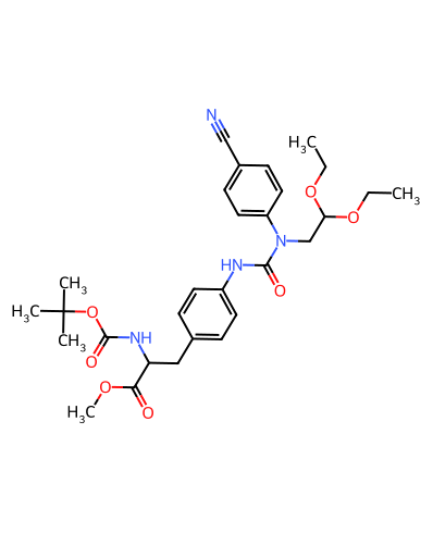 CCOC(CN(C(=O)Nc1ccc(CC(NC(=O)OC(C)(C)C)C(=O)OC)cc1)c1ccc(C#N)cc1)OCC